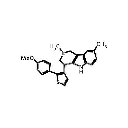 COc1ccc(-c2sccc2C2CN(C)Cc3c2[nH]c2ccc(C)cc32)cc1